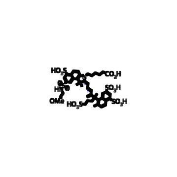 C=C(/C=C/C=C1/N(CCCCCC(=O)O)c2ccc3c(S(=O)(=O)O)cc(S(=O)(=O)NCCOC)cc3c2C1(C)C)C(C)(CCCS(=O)(=O)O)c1c(C)ccc2c(S(=O)(=O)O)cc(S(=O)(=O)O)cc12